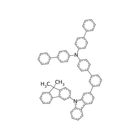 CC1(C)c2ccccc2-c2cc(-n3c4ccccc4c4ccc(-c5cccc(-c6ccc(N(c7ccc(-c8ccccc8)cc7)c7ccc(-c8ccccc8)cc7)cc6)c5)cc43)ccc21